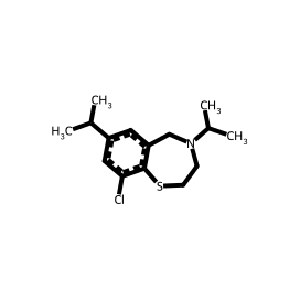 CC(C)c1cc(Cl)c2c(c1)CN(C(C)C)CCS2